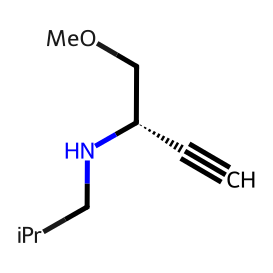 C#C[C@@H](COC)NCC(C)C